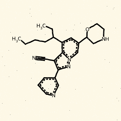 CCCCC(CC)c1cc(C2CNCCO2)cn2nc(-c3cccnc3)c(C#N)c12